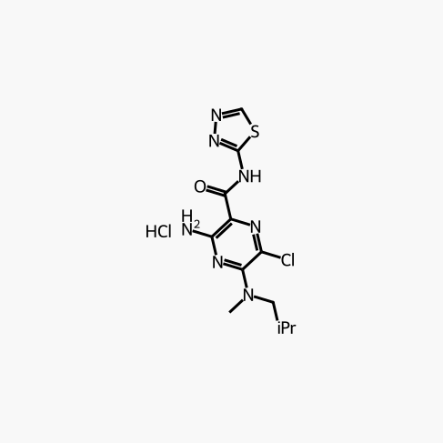 CC(C)CN(C)c1nc(N)c(C(=O)Nc2nncs2)nc1Cl.Cl